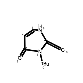 CC(C)(C)n1c(=O)cc[nH]c1=O